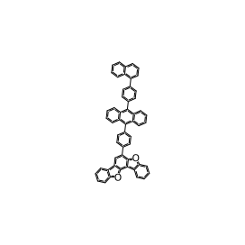 c1ccc2c(-c3ccc(-c4c5ccccc5c(-c5ccc(-c6cc7c8ccccc8oc7c7c6oc6ccccc67)cc5)c5ccccc45)cc3)cccc2c1